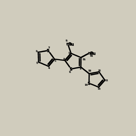 CCCCc1c(-c2cccs2)sc(-c2cccs2)c1CCCC